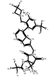 Cc1nc(C(F)(F)F)cc(-c2ccnc3cc(CN4C(=O)C5C(C)(C)C5(OC(=O)C(F)(F)F)C4=O)sc23)c1CN1CC(F)(F)C1